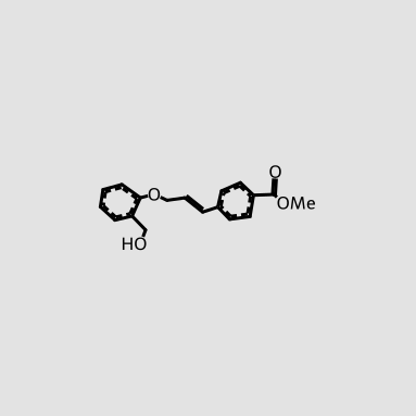 COC(=O)c1ccc(C=CCOc2ccccc2CO)cc1